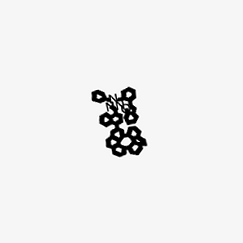 c1ccc(-c2nc(-c3ccccc3-c3cc4ccccc4o3)nc(-c3ccc(-c4cc5ccc6cccc7c8cccc9ccc%10cccc(c(c4)c5c67)c%10c98)c4ccccc34)n2)cc1